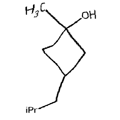 CC(C)CC1CC(C)(O)C1